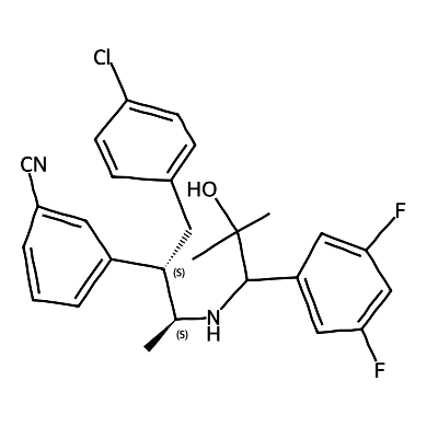 C[C@H](NC(c1cc(F)cc(F)c1)C(C)(C)O)[C@@H](Cc1ccc(Cl)cc1)c1cccc(C#N)c1